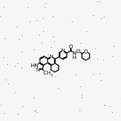 Cc1n[nH]c2ccc3nc(-c4ccc(C(=O)NOC5CCCCO5)nc4)c4c(c3c12)CCCC4